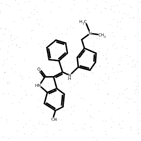 CN(C)Cc1cccc(NC(=C2C(=O)Nc3cc(C#N)ccc32)c2ccccc2)c1